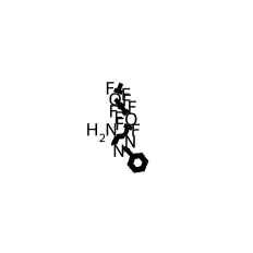 CC(F)(F)OC(F)(F)C(F)(F)OC(F)(F)c1nc(-c2ccccc2)ncc1N